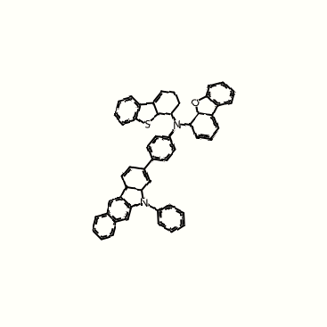 C1=CC(N(c2ccc(C3=CC4C(C=C3)c3cc5ccccc5cc3N4c3ccccc3)cc2)C2CCC=C3c4ccccc4SC32)C2Oc3ccccc3C2=C1